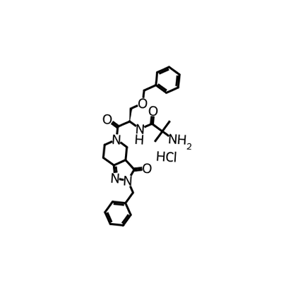 CC(C)(N)C(=O)N[C@H](COCc1ccccc1)C(=O)N1CCC2=NN(Cc3ccccc3)C(=O)C2C1.Cl